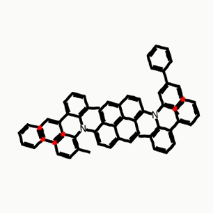 Cc1ccc(-c2ccccc2)cc1N(c1c(C)cccc1-c1ccccc1)c1ccc2ccc3c(N(c4cc(-c5ccccc5)ccc4C)c4c(C)cccc4-c4ccccc4)ccc4ccc1c2c43